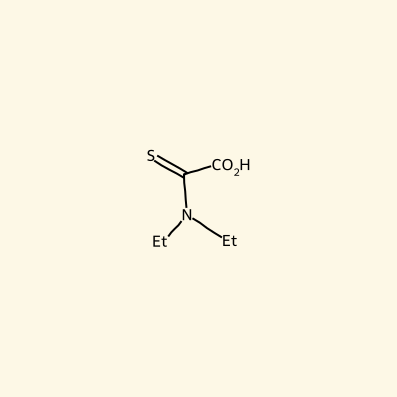 CCN(CC)C(=S)C(=O)O